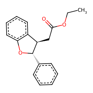 CCOC(=O)C[C@@H]1c2ccccc2O[C@H]1c1ccccc1